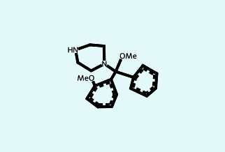 COc1ccccc1C(OC)(c1ccccc1)N1CCNCC1